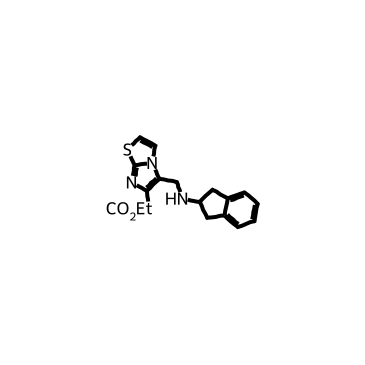 CCOC(=O)c1nc2sccn2c1CNC1Cc2ccccc2C1